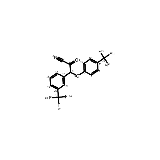 N#CC(=O)C(Oc1ccc(C(F)(F)F)cc1)c1cccc(C(F)(F)F)c1